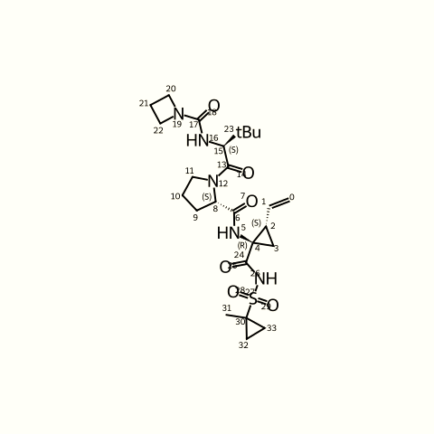 C=C[C@@H]1C[C@]1(NC(=O)[C@@H]1CCCN1C(=O)[C@@H](NC(=O)N1CCC1)C(C)(C)C)C(=O)NS(=O)(=O)C1(C)CC1